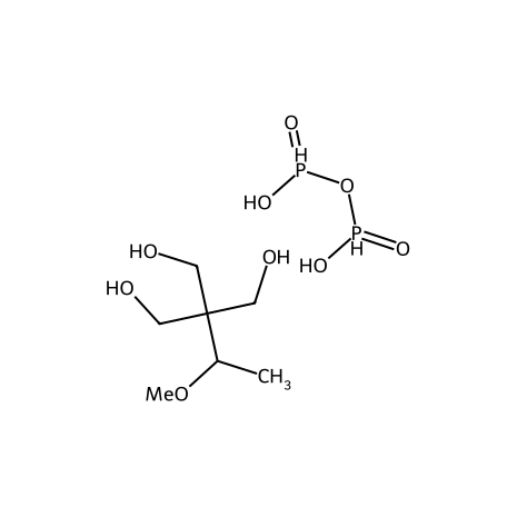 COC(C)C(CO)(CO)CO.O=[PH](O)O[PH](=O)O